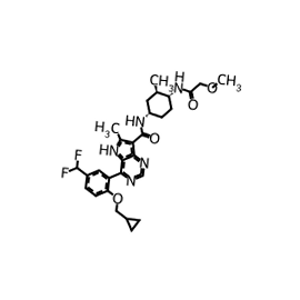 COCC(=O)N[C@@H]1CC[C@H](NC(=O)c2c(C)[nH]c3c(-c4cc(C(F)F)ccc4OCC4CC4)ncnc23)C[C@H]1C